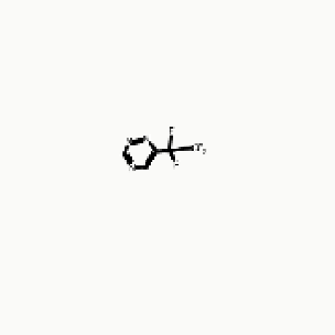 FC(F)(F)C(F)(F)c1cn[c]nn1